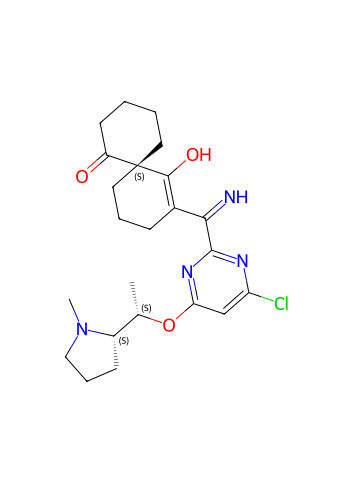 C[C@H](Oc1cc(Cl)nc(C(=N)C2=C(O)[C@]3(CCCCC3=O)CCC2)n1)[C@@H]1CCCN1C